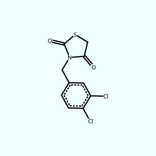 O=C1CSC(=O)N1Cc1ccc(Cl)c(Cl)c1